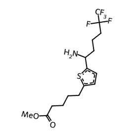 COC(=O)CCCCc1ccc(C(N)CCCC(F)(F)C(F)(F)F)s1